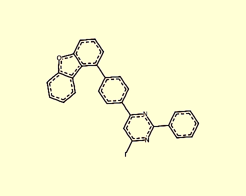 Ic1cc(-c2ccc(-c3cccc4oc5ccccc5c34)cc2)nc(-c2ccccc2)n1